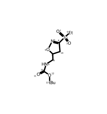 CCS(=O)(=O)C1=NOC(CNC(=O)OC(C)(C)C)C1